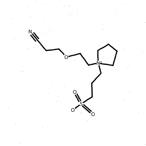 N#CCCOCC[N+]1(CCCS(=O)(=O)[O-])CCCC1